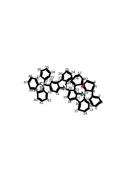 c1ccc(-c2ccccc2-n2c3ccccc3c3ccc(-n4c5ccccc5c5cc([Si](c6ccccc6)(c6ccccc6)c6ccccc6)ccc54)c(-c4ccccc4)c32)cc1